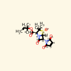 C=CC(C)(C)OC(=O)[C@@H]1N2C(=O)[C@@H](N3C(=O)C=CC3=O)[C@H]2[S+]([O-])C1(C)C